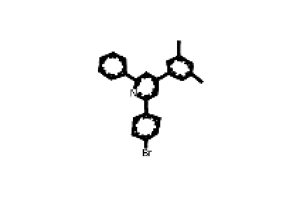 Cc1cc(C)cc(-c2cc(-c3ccccc3)nc(-c3ccc(Br)cc3)c2)c1